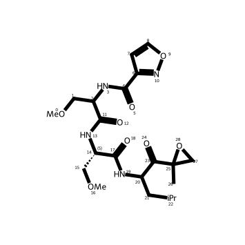 COCC(NC(=O)c1ccon1)C(=O)N[C@@H](COC)C(=O)NC(CC(C)C)C(=O)C1(C)CO1